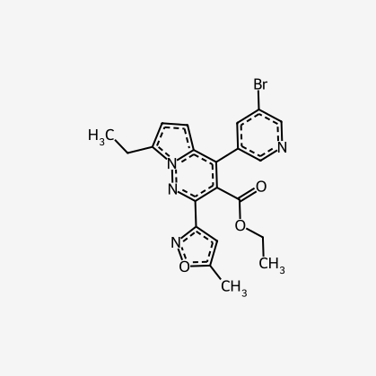 CCOC(=O)c1c(-c2cc(C)on2)nn2c(CC)ccc2c1-c1cncc(Br)c1